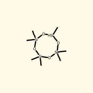 C[SiH]1O[Si](C)(C)O[Si](C)(C)O[Si](C)(C)O1